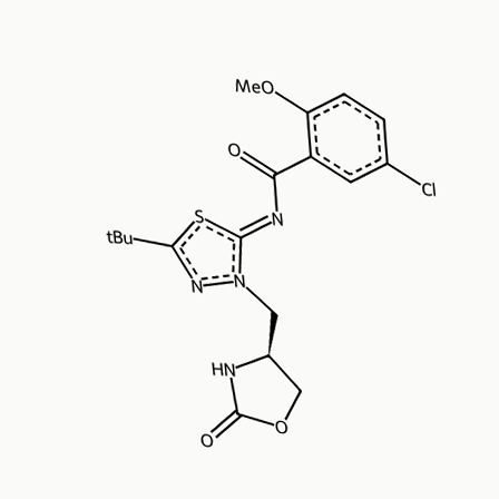 COc1ccc(Cl)cc1C(=O)/N=c1\sc(C(C)(C)C)nn1C[C@H]1COC(=O)N1